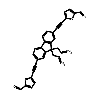 C=CCC1(CC=C)c2cc(C#Cc3ccc(C=O)s3)ccc2-c2ccc(C#Cc3ccc(C=O)s3)cc21